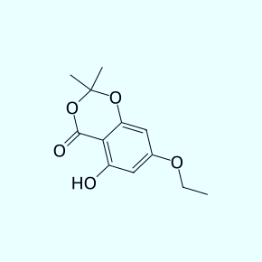 CCOc1cc(O)c2c(c1)OC(C)(C)OC2=O